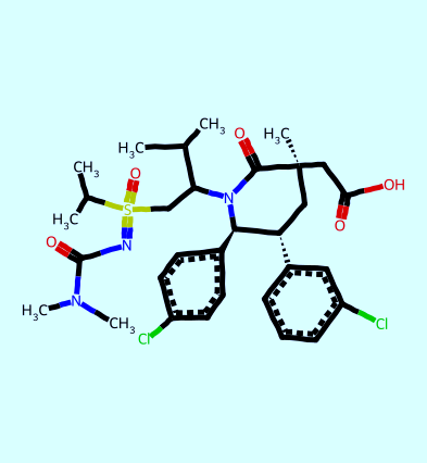 CC(C)C(CS(=O)(=NC(=O)N(C)C)C(C)C)N1C(=O)[C@@](C)(CC(=O)O)C[C@H](c2cccc(Cl)c2)[C@H]1c1ccc(Cl)cc1